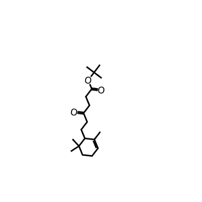 CC1=CCCC(C)(C)C1CCC(=O)CCC(=O)OC(C)(C)C